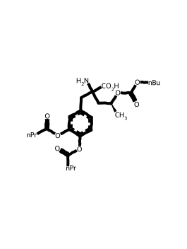 CCCCOC(=O)O[C@@H](C)CC(N)(Cc1ccc(OC(=O)CCC)c(OC(=O)CCC)c1)C(=O)O